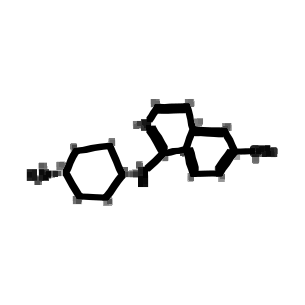 COc1ccc2c(N[C@H]3CC[C@@H](N)CC3)nccc2c1